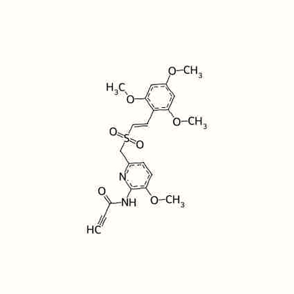 C#CC(=O)Nc1nc(CS(=O)(=O)C=Cc2c(OC)cc(OC)cc2OC)ccc1OC